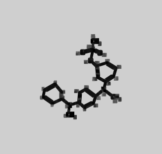 CN(c1ccccc1)c1ccc(N(C)c2cccc(OS(C)(=O)=O)c2)cc1